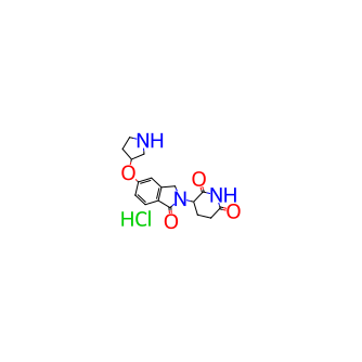 Cl.O=C1CCC(N2Cc3cc(OC4CCNC4)ccc3C2=O)C(=O)N1